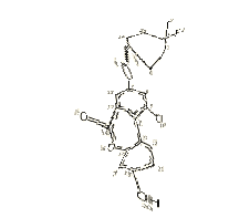 CC1(F)CCC(Oc2cc(Cl)c3c(c2)c(=O)oc2cc(O)ccc23)CC1